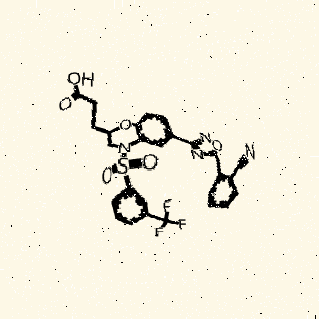 N#Cc1ccccc1-c1nc(-c2ccc3c(c2)N(S(=O)(=O)c2cccc(C(F)(F)F)c2)CC(CCC(=O)O)O3)no1